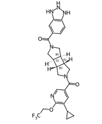 O=C(c1ccc2c(c1)NNN2)N1C[C@@H]2[C@H](C1)[C@H]1CN(C(=O)c3cnc(OCC(F)(F)F)c(C4CC4)c3)C[C@@H]21